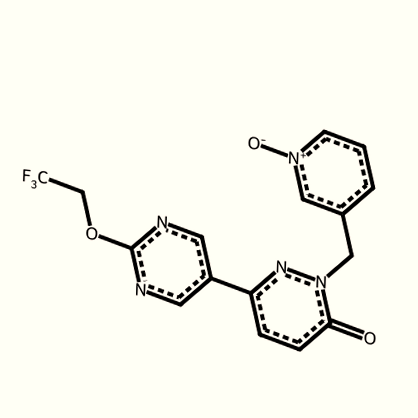 O=c1ccc(-c2cnc(OCC(F)(F)F)nc2)nn1Cc1ccc[n+]([O-])c1